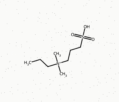 CCC[N+](C)(C)CCCS(=O)(=O)O